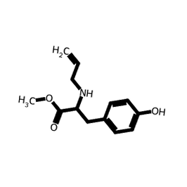 C=CCNC(Cc1ccc(O)cc1)C(=O)OC